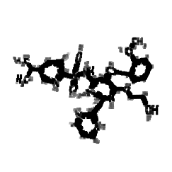 COc1ccccc1Oc1c(NS(=O)(=O)c2ccc(C(C)C)cn2)nc(-c2ncccn2)nc1OCCO